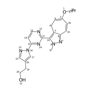 CC(C)OC1=CCc2c(nn(C)c2-c2nccc(-n3cc(CCO)cn3)n2)C=C1